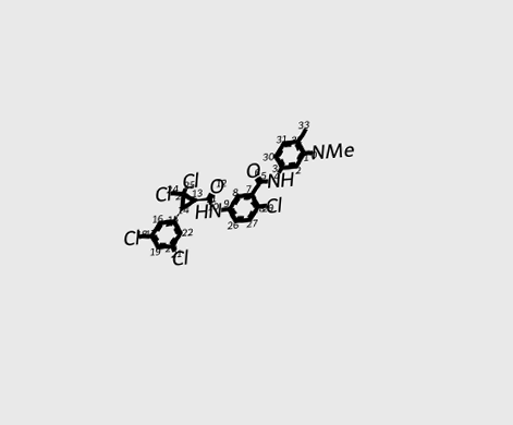 CNc1cc(NC(=O)c2cc(NC(=O)[C@H]3[C@H](c4cc(Cl)cc(Cl)c4)C3(Cl)Cl)ccc2Cl)ccc1C